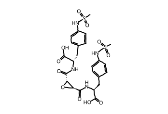 CS(=O)(=O)Nc1ccc(C[C@H](NC(=O)[C@H]2O[C@@H]2C(=O)N[C@@H](Cc2ccc(NS(C)(=O)=O)cc2)C(=O)O)C(=O)O)cc1